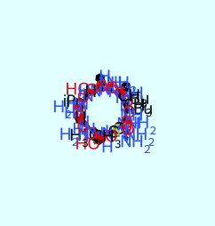 CCCC[C@H]1C(=O)N(C)[C@@H](CCCC)C(=O)N[C@@H](CCN)C(=O)N[C@H](C(=O)N[C@@H](CCN)C(N)=O)CSCC(=O)N[C@@H](Cc2ccc(O)cc2)C(=O)N(C)[C@@H](C)C(=O)N[C@@H](CCN)C(=O)N2CCC[C@H]2C(=O)N[C@@H](CN)C(=O)N[C@@H](CC(C)C)C(=O)N2C[C@H](O)C[C@H]2C(=O)N[C@@H](Cc2c[nH]c3ccccc23)C(=O)N[C@@H](CCN)C(=O)N[C@@H](Cc2c[nH]c3ccccc23)C(=O)N1C